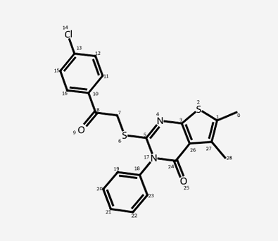 Cc1sc2nc(SCC(=O)c3ccc(Cl)cc3)n(-c3ccccc3)c(=O)c2c1C